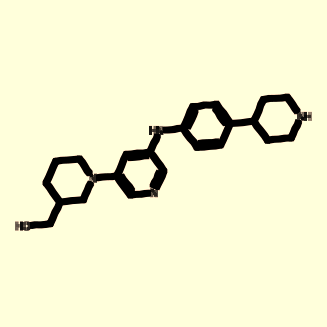 OCC1CCCN(c2cncc(Nc3ccc(C4CCNCC4)cc3)c2)C1